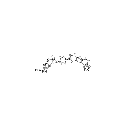 C[C@]1(COc2ccc(N3CCC(Oc4ccc(OC(F)(F)F)cc4)CC3)cc2)Cn2cc(NO)nc2O1